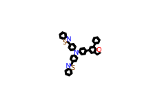 c1ccc(-c2cc(-c3ccc(N(c4ccc(-c5nc6ccccc6s5)cc4)c4ccc(-c5nc6ccccc6s5)cc4)cc3)cc3c2OCC3)cc1